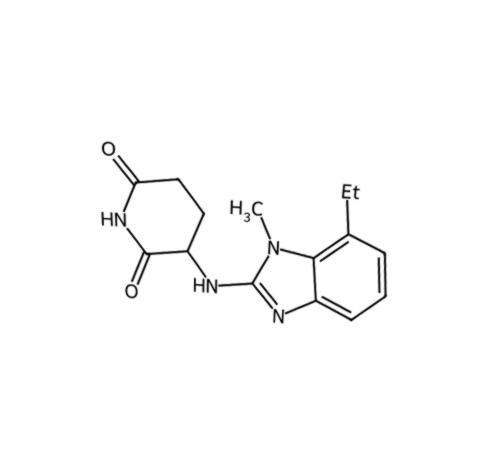 CCc1cccc2nc(NC3CCC(=O)NC3=O)n(C)c12